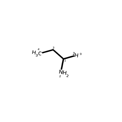 [2H]C(N)CC